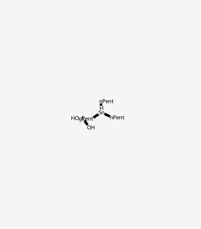 CCCC[CH2][SnH]([CH2]CCCC)[CH2]CCCC.O=S(=O)(O)O